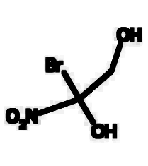 O=[N+]([O-])C(O)(Br)CO